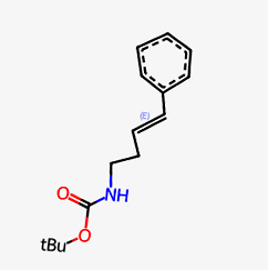 CC(C)(C)OC(=O)NCC/C=C/c1ccccc1